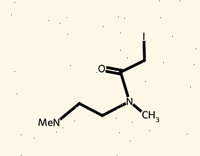 CNCCN(C)C(=O)CI